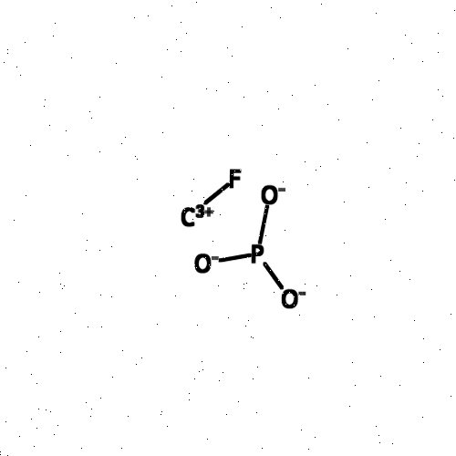 [C+3]F.[O-]P([O-])[O-]